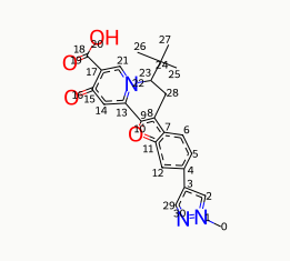 Cn1cc(-c2ccc3c4c(oc3c2)-c2cc(=O)c(C(=O)O)cn2C(C(C)(C)C)C4)cn1